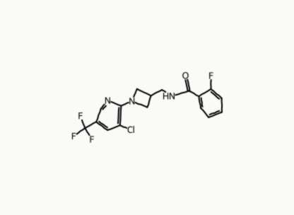 O=C(NCC1CN(c2ncc(C(F)(F)F)cc2Cl)C1)c1ccccc1F